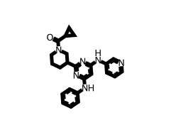 O=C(C1CC1)N1CCCC(c2nc(Nc3ccccc3)cc(Nc3cccnc3)n2)C1